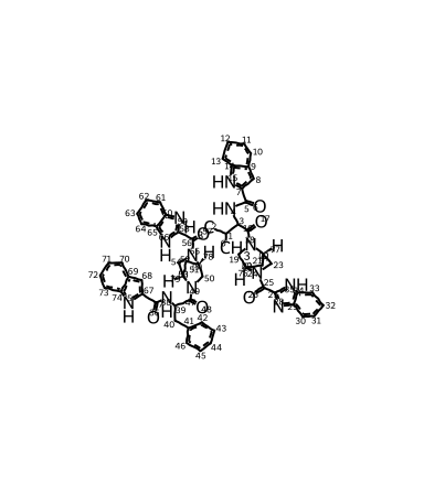 CC(C)C(NC(=O)c1cc2ccccc2[nH]1)C(=O)N1C[C@@H]2C[C@H]1CN2C(=O)c1nc2ccccc2[nH]1.O=C(NC(Cc1ccccc1)C(=O)N1C[C@@H]2C[C@H]1CN2C(=O)c1nc2ccccc2[nH]1)c1cc2ccccc2[nH]1